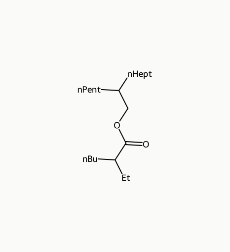 CCCCCCCC(CCCCC)COC(=O)C(CC)CCCC